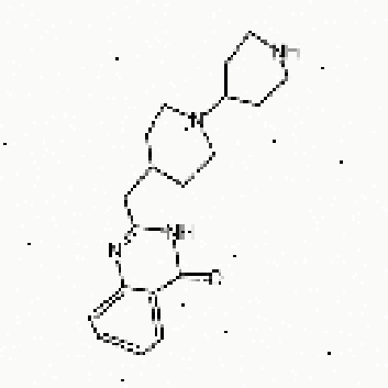 O=c1[nH]c(CC2CCN(C3CCNCC3)CC2)nc2ccccc12